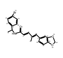 CC(/C=C/C(=O)NC(C)c1ccc(Br)cc1)=C\c1ccc2c(c1)OCO2